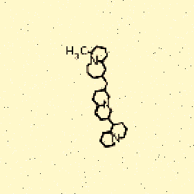 CC1CCCC2CC(CC3CCC4CCC(C5CCCN6CCCCC56)CN4C3)CCCN12